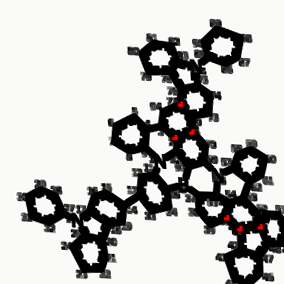 c1ccc(-c2ccccc2N2c3cc(-c4ccc5c(c4)c4ccccc4n5-c4ccccc4)ccc3B3c4ccc(-n5c6ccccc6c6ccccc65)cc4N(c4ccccc4-c4ccccc4)c4cc(-c5ccc6c(c5)c5ccccc5n6-c5ccccc5)cc2c43)cc1